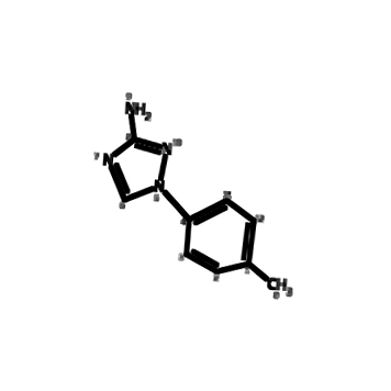 Cc1ccc(-n2cnc(N)n2)cc1